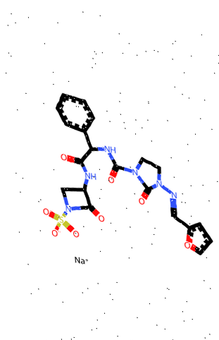 O=C(NC1CN(S(=O)(=O)[O-])C1=O)C(NC(=O)N1CCN(N=Cc2ccco2)C1=O)c1ccccc1.[Na+]